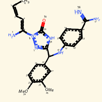 C/C=C\C=C(/N)n1nc(C(Nc2ccc(C(=N)N)cc2)c2ccc(OC)c(OC)c2)[nH]c1=O